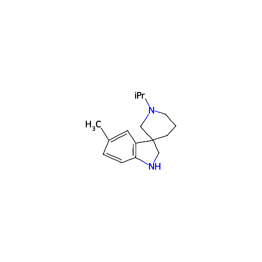 Cc1ccc2c(c1)C1(CCCN(C(C)C)C1)CN2